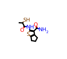 CC(S)C(=O)Nc1sc2c(c1C(N)=O)CCC2